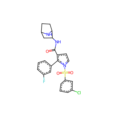 O=C(NC1CC2CCC1N2)c1ccn(S(=O)(=O)c2cccc(Cl)c2)c1-c1cccc(F)c1